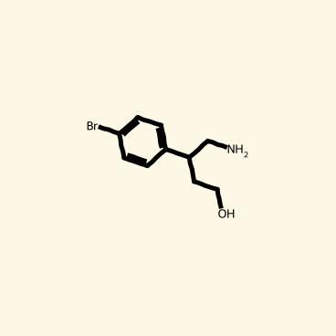 NCC(CCO)c1ccc(Br)cc1